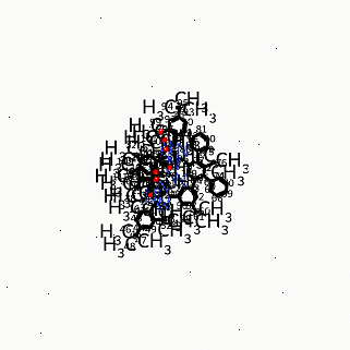 CC(C)(C)c1ccc(N(c2ccc(C(C)(C)C)cc2)n2c3c(-c4nc(-c5ccc(C(C)(C)C)cc5C(C)(C)C)nc(-c5ccc(C(C)(C)C)cc5C(C)(C)C)n4)cc(C(C)(C)C)cc3c3c(-c4ccccc4)c(C(C)(C)C)c(-c4ccccc4)c(-c4nc(-c5ccc(C(C)(C)C)cc5C(C)(C)C)nc(-c5ccc(C(C)(C)C)cc5C(C)(C)C)n4)c32)cc1